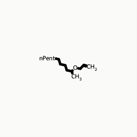 C=CCOC(C)CCCCCCCCC